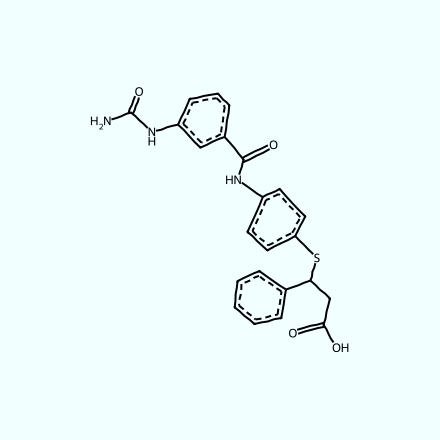 NC(=O)Nc1cccc(C(=O)Nc2ccc(SC(CC(=O)O)c3ccccc3)cc2)c1